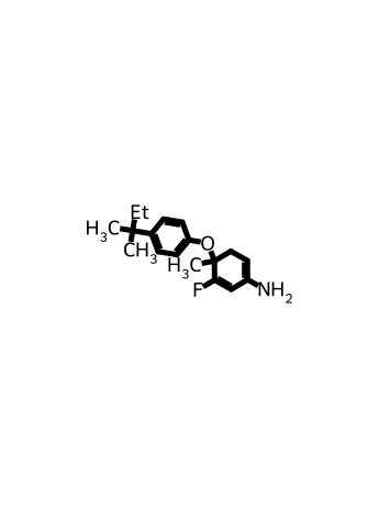 CCC(C)(C)c1ccc(OC2(C)CC=C(N)C=C2F)cc1